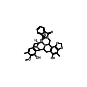 COc1c(C)cc2c(c1O)C1C3Cc4c(O)c(C)c5c(c4C(CN4C(=O)c6ccccc6C4=O)N3[C@@H](C#N)[C@H](C2)N1C)OCO5